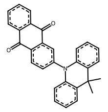 CC1(C)c2ccccc2N(c2ccc3c(c2)C(=O)c2ccccc2C3=O)c2ccccc21